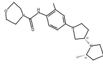 Cc1cc(N2CC[C@H](N3CCC[C@@H]3C)C2)ccc1NC(=O)N1CCOCC1